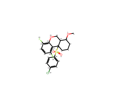 COC1CCCC2(S(=O)(=O)c3ccc(Cl)cc3)c3c(F)ccc(F)c3OCC12